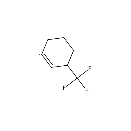 FC(F)(F)C1C=[C]CCC1